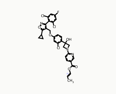 C/C=C/OC(=O)c1ccc(N2CC(O)(c3ccc(OCc4c(-c5c(Cl)cc(F)cc5Cl)noc4C4CC4)cc3Cl)C2)nc1